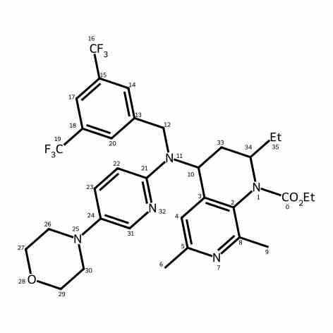 CCOC(=O)N1c2c(cc(C)nc2C)C(N(Cc2cc(C(F)(F)F)cc(C(F)(F)F)c2)c2ccc(N3CCOCC3)cn2)CC1CC